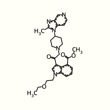 CCOCCn1cc(C(=O)CN2CCC(n3c(C)nc4cnccc43)CC2)c2c(C(=O)OC)cccc21